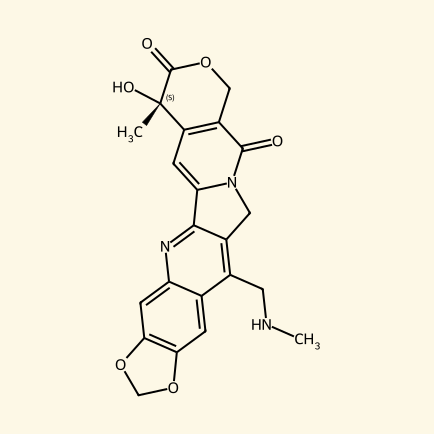 CNCc1c2c(nc3cc4c(cc13)OCO4)-c1cc3c(c(=O)n1C2)COC(=O)[C@@]3(C)O